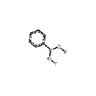 FOB(OF)c1ccccc1